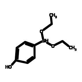 CCO[SiH](OCC)c1ccc(O)cc1